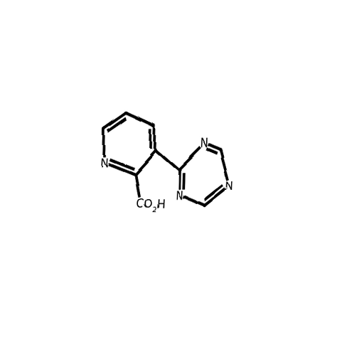 O=C(O)c1ncccc1-c1ncncn1